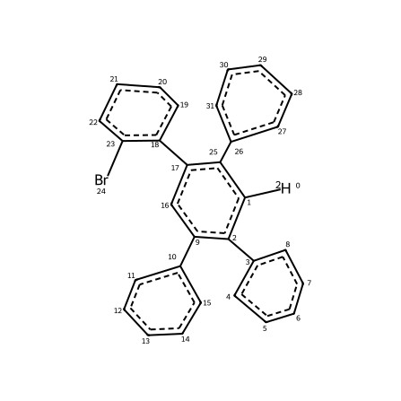 [2H]c1c(-c2ccccc2)c(-c2ccccc2)cc(-c2ccccc2Br)c1-c1ccccc1